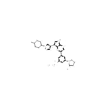 CNS(=O)(=O)c1cc(-c2cnc3c(n2)c(-c2cnn(C4CCC(C)CC4)c2)cn3C(=O)O)cc(N2CCC[C@H]2C)c1